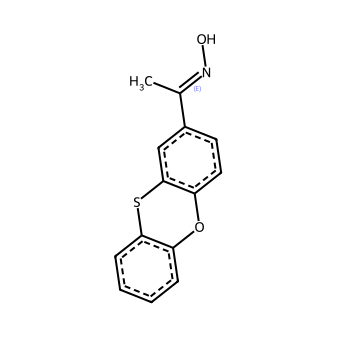 C/C(=N\O)c1ccc2c(c1)Sc1ccccc1O2